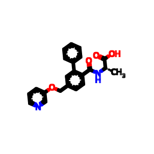 C[C@H](NC(=O)c1ccc(COc2cccnc2)cc1-c1ccccc1)C(=O)O